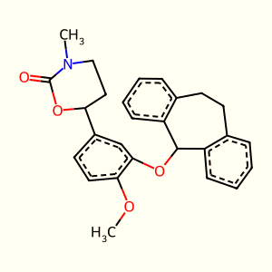 COc1ccc(C2CCN(C)C(=O)O2)cc1OC1c2ccccc2CCc2ccccc21